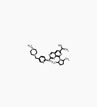 CC(O)c1cc2cnc(Nc3ccc(CN4CCN(C)CC4)cn3)nc2c(N2C(C)CCC2C)n1